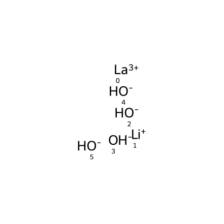 [La+3].[Li+].[OH-].[OH-].[OH-].[OH-]